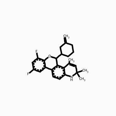 C=C1CCCC(C2Oc3c(F)cc(F)cc3-c3ccc4c(c32)C(C)=CC(C)(C)N4)C1